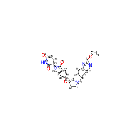 COCc1ncc2cc(CN3CC[C@H](Oc4ccc5c(c4)CN(C4CCC(=O)NC4=O)C5=O)C3)ccc2n1